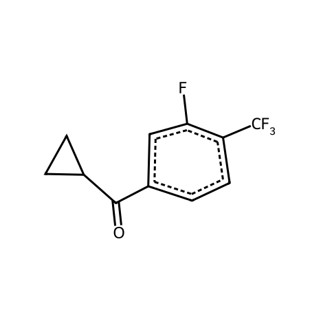 O=C(c1ccc(C(F)(F)F)c(F)c1)C1CC1